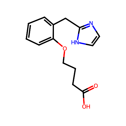 O=C(O)CCCOc1ccccc1Cc1ncc[nH]1